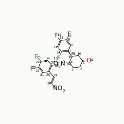 O=C1CC[C@H]([N+](=O)[O-])[C@@H](c2cc(F)c(F)cc2F)C1.O=[N+]([O-])C=Cc1cc(F)c(F)cc1F